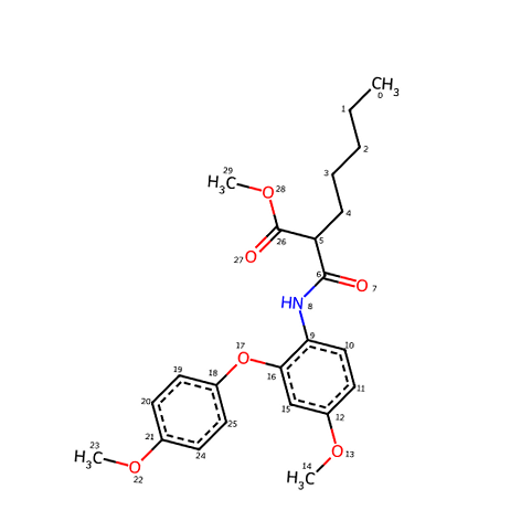 CCCCCC(C(=O)Nc1ccc(OC)cc1Oc1ccc(OC)cc1)C(=O)OC